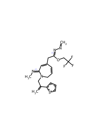 C=N/N=C(/CC1=C/C(=N/C)N(CC(=C)c2cccs2)CC=C1)OCC(F)(F)F